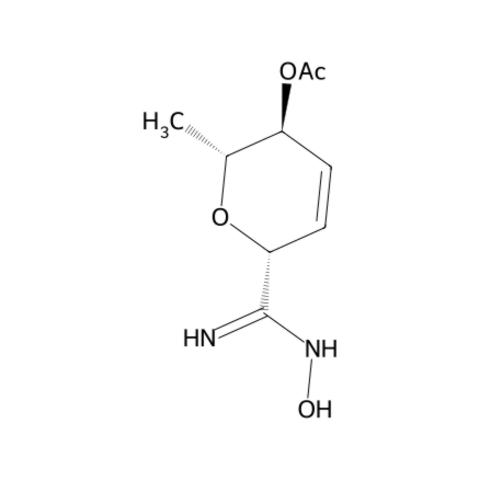 CC(=O)O[C@H]1C=C[C@H](C(=N)NO)O[C@@H]1C